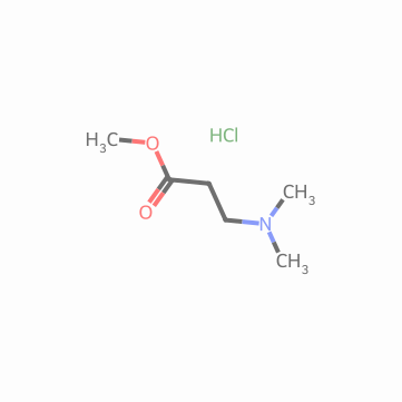 COC(=O)CCN(C)C.Cl